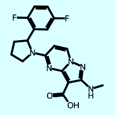 CNc1nn2ccc(N3CCCC3c3cc(F)ccc3F)nc2c1C(=O)O